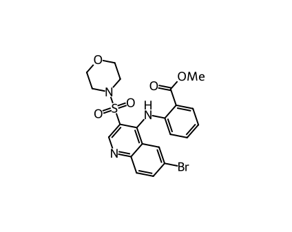 COC(=O)c1ccccc1Nc1c(S(=O)(=O)N2CCOCC2)cnc2ccc(Br)cc12